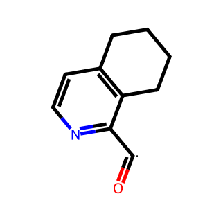 O=[C]c1nccc2c1CCCC2